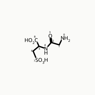 NCC(=O)NC(CS(=O)(=O)O)C(=O)O